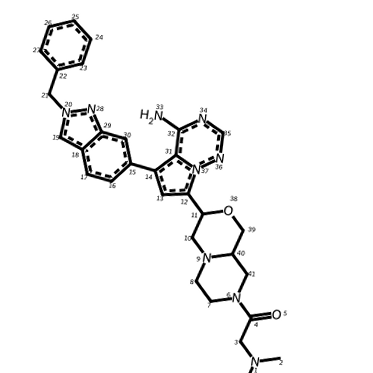 CN(C)CC(=O)N1CCN2CC(c3cc(-c4ccc5cn(Cc6ccccc6)nc5c4)c4c(N)ncnn34)OCC2C1